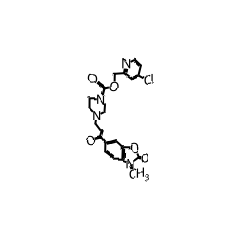 Cn1c(=O)oc2cc(C(=O)CCN3CCN(C(=O)OCc4cc(Cl)ccn4)CC3)ccc21